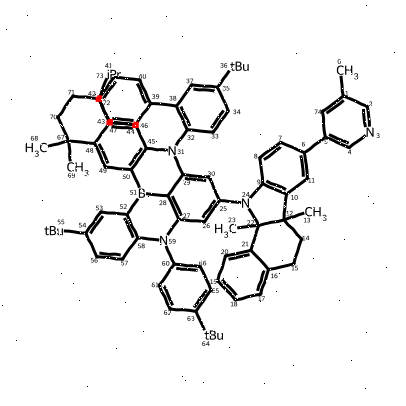 Cc1cncc(-c2ccc3c(c2)C2(C)CCc4ccccc4C2(C)N3c2cc3c4c(c2)N(c2ccc(C(C)(C)C)cc2-c2ccccc2)c2cc5c(cc2B4c2cc(C(C)(C)C)ccc2N3c2ccc(C(C)(C)C)cc2)C(C)(C)CCC5C(C)C)c1